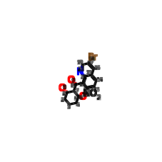 O=C1CCCC(=O)C1C(=O)c1c([N+](=O)[O-])ccc2cc(Br)cnc12